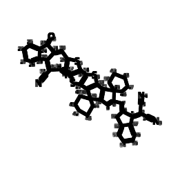 N#CC(C#N)=C1/C(=C/C2=CC3=C(c4sc5c(sc6cc(/C=C7/C(=O)c8ccccc8C7=C(C#N)C#N)sc65)c4C34CCCCC4)C23CCCCC3)Cc2ccccc21